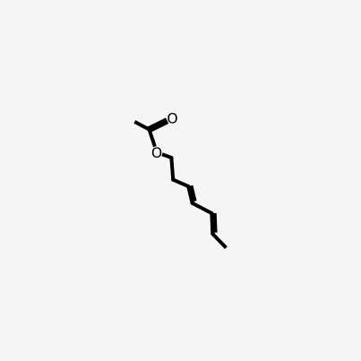 CC=CC=CCCOC(C)=O